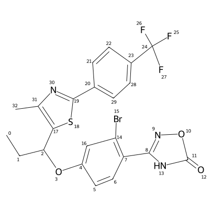 CCC(Oc1ccc(-c2noc(=O)[nH]2)c(Br)c1)c1sc(-c2ccc(C(F)(F)F)cc2)nc1C